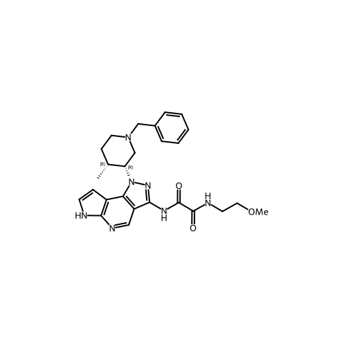 COCCNC(=O)C(=O)Nc1nn([C@H]2CN(Cc3ccccc3)CC[C@H]2C)c2c1cnc1[nH]ccc12